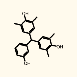 Cc1cc(C(c2cccc(O)c2)c2cc(C)c(O)c(C)c2)cc(C)c1O